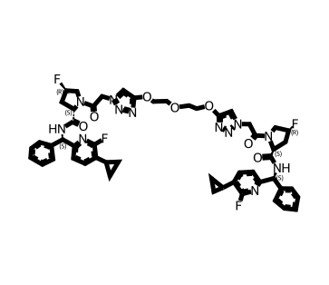 O=C(N[C@@H](c1ccccc1)c1ccc(C2CC2)c(F)n1)[C@@H]1C[C@@H](F)CN1C(=O)Cn1cc(OCCOCCOc2cn(CC(=O)N3C[C@H](F)C[C@H]3C(=O)N[C@@H](c3ccccc3)c3ccc(C4CC4)c(F)n3)nn2)nn1